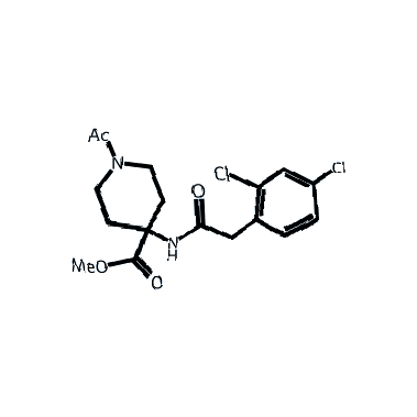 COC(=O)C1(NC(=O)Cc2ccc(Cl)cc2Cl)CCN(C(C)=O)CC1